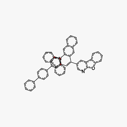 C(=C(\c1cnc2oc3ccccc3c2c1)c1cc2ccccc2cc1-n1c2ccccc2c2ccccc21)/c1cccc(-c2ccc(-c3ccccc3)cc2)c1